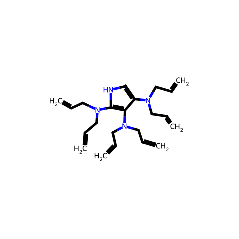 C=CCN(CC=C)c1[c][nH]c(N(CC=C)CC=C)c1N(CC=C)CC=C